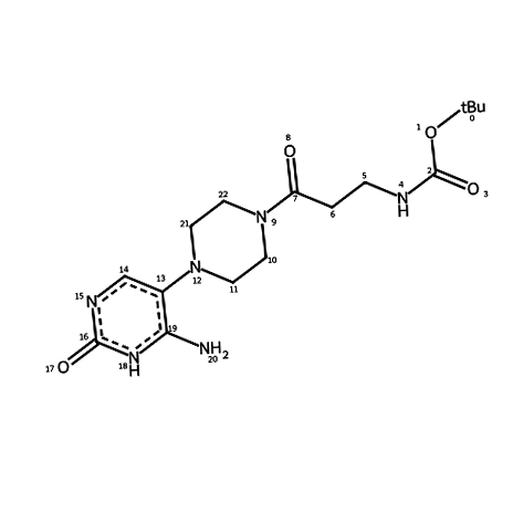 CC(C)(C)OC(=O)NCCC(=O)N1CCN(c2cnc(=O)[nH]c2N)CC1